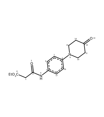 CCOC(=O)CC(=O)Nc1ccc(N2CCC(=O)CC2)cc1